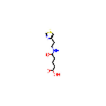 O=C(O)CCCC(=O)NCCc1cscn1